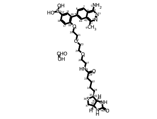 Cc1nnc(N)c2ccc(-c3cc(B(O)O)ccc3OCCOCCOCCNC(=O)CCCC[C@@H]3SC[C@@H]4NC(=O)N[C@@H]43)cc12.O=CO